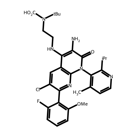 COc1cccc(F)c1-c1nc2c(cc1Cl)c(NCCN(C(=O)O)C(C)(C)C)c(N)c(=O)n2-c1c(C)ccnc1C(C)C